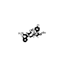 CCCCOC(=O)[C@H](C)NP(=O)(Oc1ccc(Cl)cc1)O[C@H](C)Cn1c(COCC)nc2c(N)nc3ccccc3c21